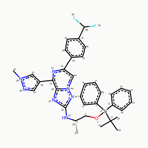 C[C@@H](CO[Si](c1ccccc1)(c1ccccc1)C(C)(C)C)Nc1nc2c(-c3cnn(C)c3)nc(-c3ccc(C(F)F)cc3)cn2n1